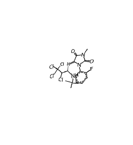 CN1C(=O)/C(=N/C(NC(C)(C)C)C(Cl)C(Cl)(Cl)Cl)N(c2ccccc2F)C1=O